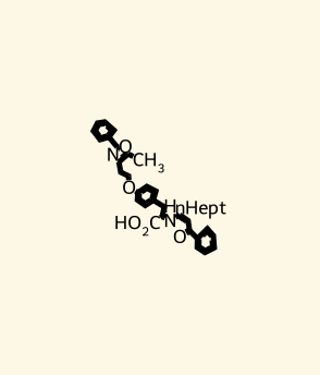 CCCCCCC/C(=C/C(=O)c1ccccc1)NC(Cc1ccc(OCCc2nc(-c3ccccc3)oc2C)cc1)C(=O)O